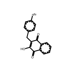 CCCc1ccc(CC2=C(O)C(=O)c3ccccc3C2=O)cc1